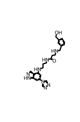 O=C(CCNCc1cccc(CO)c1)NCCCNc1cc(-n2cnnc2)cc2[nH]ncc12